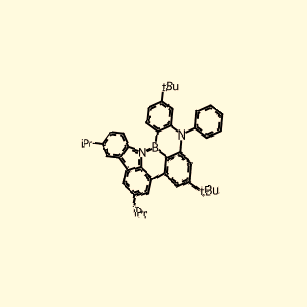 CC(C)c1ccc2c(c1)c1cc(C(C)C)cc3c1n2B1c2ccc(C(C)(C)C)cc2N(c2ccccc2)c2cc(C(C)(C)C)cc-3c21